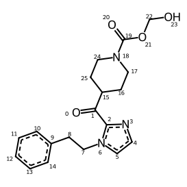 O=C(c1nccn1CCc1ccccc1)C1CCN(C(=O)OCO)CC1